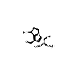 CC(=O)N[C@@H](CS)C(=O)O.OCc1ccn2c1C(O)CC2